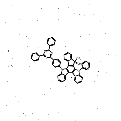 CC1(C)c2ccccc2-c2c1c1c(c3ccccc3n1-c1ccccc1)c1c3ccccc3n(-c3ccc(-c4nc(-c5ccccc5)nc(-c5ccccc5)n4)cc3)c21